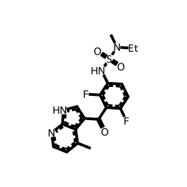 CCN(C)S(=O)(=O)Nc1ccc(F)c(C(=O)c2c[nH]c3nccc(C)c23)c1F